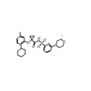 Cc1ccc(C2CCCCC2)c(OC2(C(=O)NS(=O)(=O)c3cccc(N4CCO[C@@H](C)C4)n3)CC2)c1